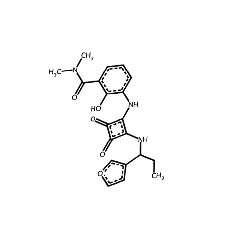 CCC(Nc1c(Nc2cccc(C(=O)N(C)C)c2O)c(=O)c1=O)c1ccoc1